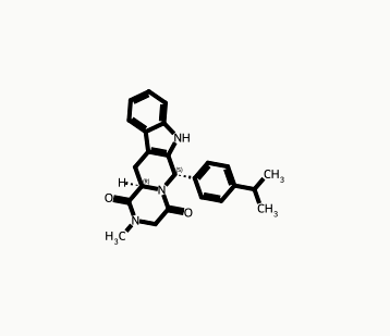 CC(C)c1ccc([C@H]2c3[nH]c4ccccc4c3C[C@@H]3C(=O)N(C)CC(=O)N23)cc1